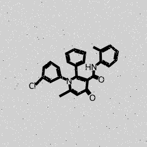 Cc1ccccc1NC(=O)c1c(-c2ccccc2)n(-c2cccc(Cl)c2)c(C)cc1=O